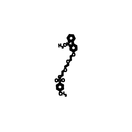 Cc1ccc(S(=O)(=O)OCCOCCOCCOc2ccc3c4ccccc4n(C)c3c2)cc1